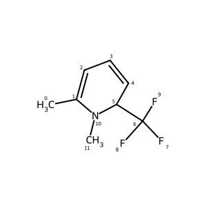 CC1=CC=CC(C(F)(F)F)N1C